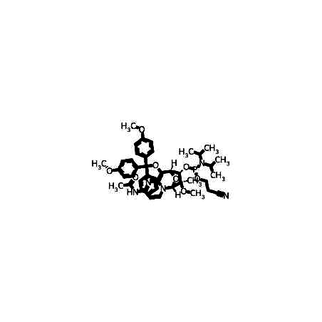 COc1ccc(C(OC2=C3N=C(NC(C)=O)C=CN3[C@@H]3O[C@@H]2[C@H](OP(OCCC#N)N(C(C)C)C(C)C)[C@@]3(C)OC)(c2ccccc2)c2ccc(OC)cc2)cc1